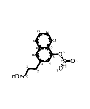 CCCCCCCCCCCCc1cc(O[SH](=O)=O)c2ccccc2c1